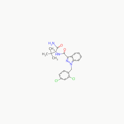 CC(C)(C)C(NC(=O)c1nn(Cc2ccc(Cl)cc2Cl)c2ccccc12)C(N)=O